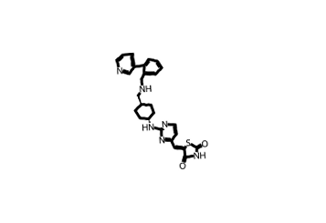 O=C1NC(=O)/C(=C/c2ccnc(N[C@H]3CC[C@H](CNCc4ccccc4-c4cccnc4)CC3)n2)S1